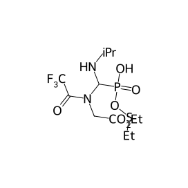 CCOC(=O)CN(C(=O)C(F)(F)F)C(NC(C)C)P(=O)(O)OSCC